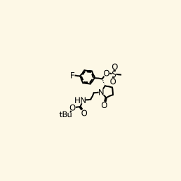 CC(C)(C)OC(=O)NCCN1C(=O)CC[C@H]1C(OS(C)(=O)=O)c1ccc(F)cc1